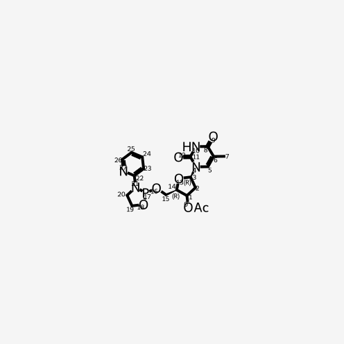 CC(=O)OC1C[C@H](n2cc(C)c(=O)[nH]c2=O)O[C@@H]1COP1OCCN1c1ccccn1